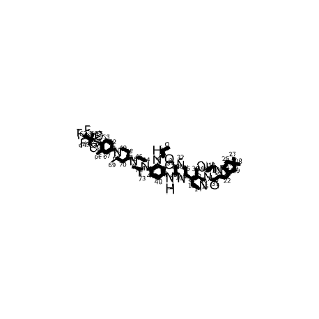 C=CC(=O)Nc1cc(Nc2nc(-c3ccnc(N4CCn5c(cc6c5CC(C)(C)C6)C4=O)c3CO)cn(C)c2=O)ccc1N1CCN(C2CCN(c3ccc(S(=O)(=O)C(C)(C)C(F)(F)F)c(C)c3)[C@H](C)C2)C[C@@H]1C